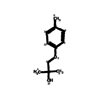 Cc1ccc(OCC(C)(C)O)nc1